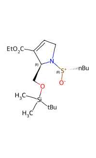 CCCC[S@+]([O-])N1CC=C(C(=O)OCC)[C@@H]1CO[Si](C)(C)C(C)(C)C